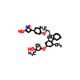 Cc1cc(OCCC(C)(C)O)cc(C)c1-c1ccccc1CCC(C)Oc1ccc(-c2cc(O)no2)cc1